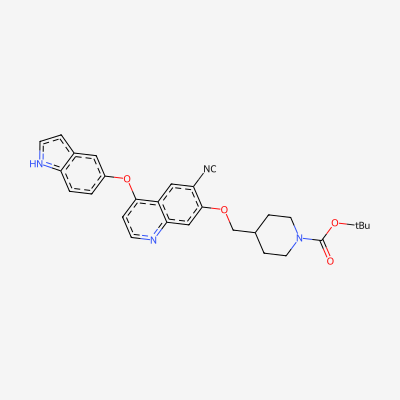 [C-]#[N+]c1cc2c(Oc3ccc4[nH]ccc4c3)ccnc2cc1OCC1CCN(C(=O)OC(C)(C)C)CC1